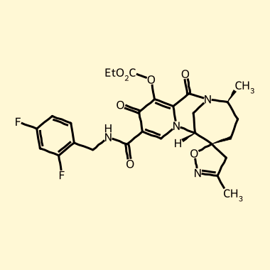 CCOC(=O)Oc1c2n(cc(C(=O)NCc3ccc(F)cc3F)c1=O)[C@@H]1CN(C2=O)[C@@H](C)CC[C@]12CC(C)=NO2